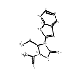 CC(=S)[C@H]1OC(=O)N(c2cc3cccnc3s2)C1CN